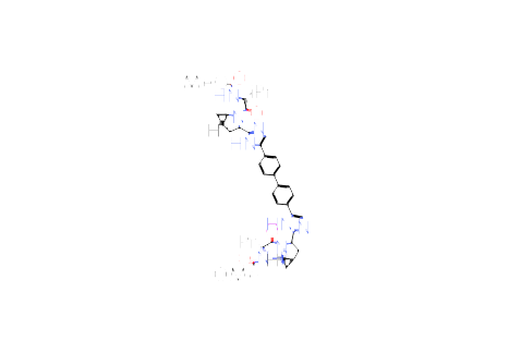 COC(=O)N[C@H](C(=O)N1C(c2ncc(-c3ccc(-c4ccc(-c5cnc(C6CC7C[C@H]7N6C(=O)[C@@H](NC(=O)OC)C(C)C)[nH]5)cc4)cc3)[nH]2)C[C@H]2CC21)C(C)C